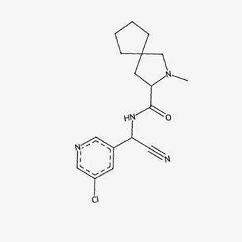 CN1CC2(CCCC2)CC1C(=O)NC(C#N)c1cncc(Cl)c1